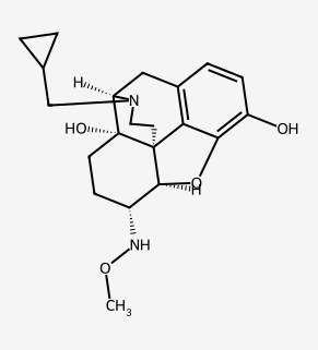 CON[C@@H]1CC[C@@]2(O)[C@H]3Cc4ccc(O)c5c4[C@@]2(CCN3CC2CC2)[C@H]1O5